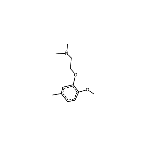 COc1ccc(C)cc1OCCN(C)C